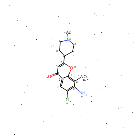 CC(=O)N1CCC(c2cc(=O)c3cc(Cl)c(N)c([N+](=O)[O-])c3o2)CC1